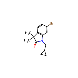 CC1(C)C(=O)N(CC2CC2)c2cc(Br)ccc21